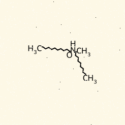 CCCCCCCCCCC(=O)NC(C)CCCCCCCCC